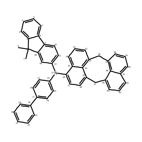 CC1(C)c2ccccc2-c2ccc(N(c3ccc(-c4ccccc4)cc3)c3ccc4c5c(cccc35)Cc3cccc5cccc(c35)C4)cc21